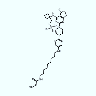 CC(C)(C)OC(=O)NCCCCCCCCCNc1cnc(C2CCN(c3nc4c(c(NC5(CO[Si](C)(C)C(C)(C)C)CCC5)n3)[S@+]([O-])CC4)CC2)nc1